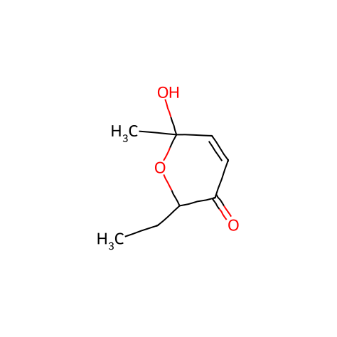 CCC1OC(C)(O)C=CC1=O